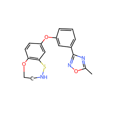 Cc1nc(-c2cccc(Oc3ccc4c(c3)SNCCO4)c2)no1